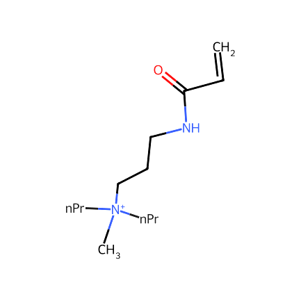 C=CC(=O)NCCC[N+](C)(CCC)CCC